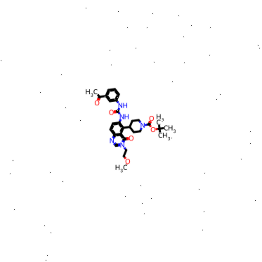 COCCn1cnc2ccc(NC(=O)Nc3cccc(C(C)=O)c3)c(C3CCN(C(=O)OC(C)(C)C)CC3)c2c1=O